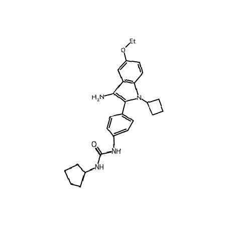 CCOc1ccc2c(c1)c(N)c(-c1ccc(NC(=O)NC3CCCC3)cc1)n2C1CCC1